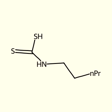 [CH2]CCCCNC(=S)S